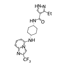 CCc1n[nH]cc1C(=O)N[C@H]1CC[C@@H](Nc2cccc3nc(C(F)(F)F)cn23)CC1